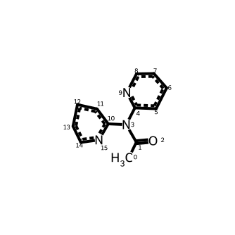 CC(=O)N(c1ccccn1)c1ccccn1